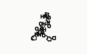 CCNC(=O)CN(C)C(=O)CC[C@@H](CO)NC(=O)[C@H](CC1CCCCC1)NC(=O)OCc1cccc(Cl)c1